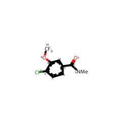 CNC(=O)c1ccc(Cl)c(OC(F)(F)F)c1